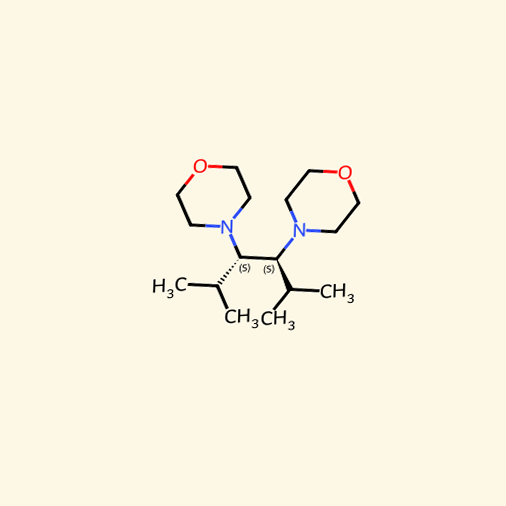 CC(C)[C@@H]([C@H](C(C)C)N1CCOCC1)N1CCOCC1